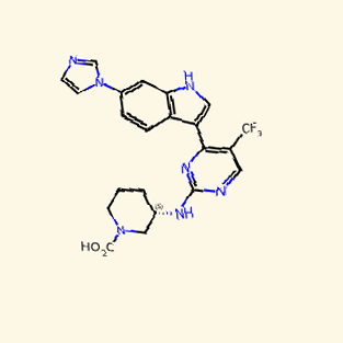 O=C(O)N1CCC[C@H](Nc2ncc(C(F)(F)F)c(-c3c[nH]c4cc(-n5ccnc5)ccc34)n2)C1